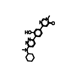 CN(c1ccc(-c2ccc(-c3cc(=O)n(C)cn3)cc2O)nn1)C1CCCCC1